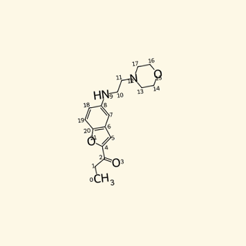 CCC(=O)c1cc2cc(NCCN3CCOCC3)ccc2o1